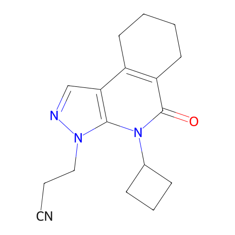 N#CCCn1ncc2c3c(c(=O)n(C4CCC4)c21)CCCC3